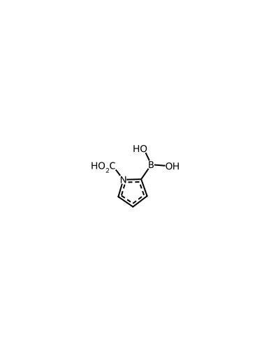 O=C(O)n1cccc1B(O)O